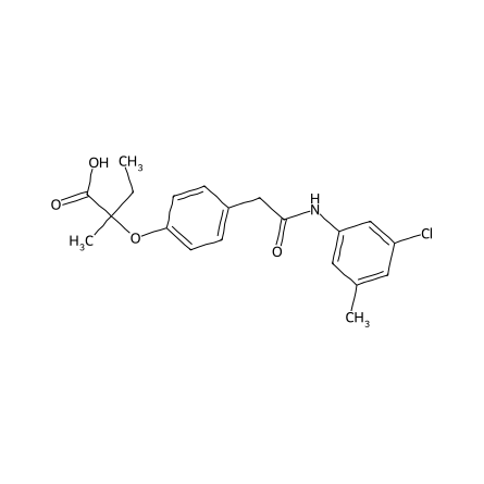 CCC(C)(Oc1ccc(CC(=O)Nc2cc(C)cc(Cl)c2)cc1)C(=O)O